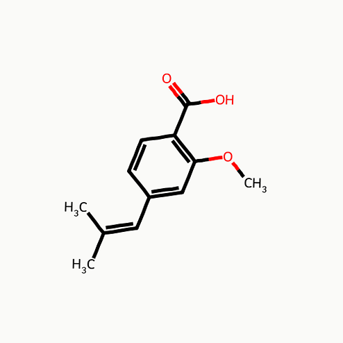 COc1cc(C=C(C)C)ccc1C(=O)O